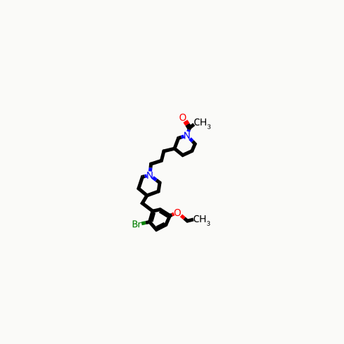 CCOc1ccc(Br)c(CC2CCN(CCCC3CCCN(C(C)=O)C3)CC2)c1